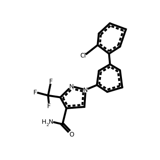 NC(=O)c1cn(-c2cccc(-c3ccccc3Cl)c2)nc1C(F)(F)F